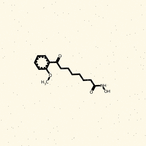 COc1ccccc1C(=O)CCCCCCC(=O)NO